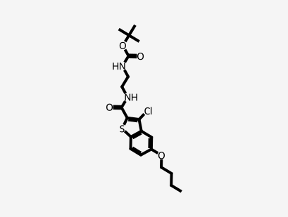 CCCCOc1ccc2sc(C(=O)NCCNC(=O)OC(C)(C)C)c(Cl)c2c1